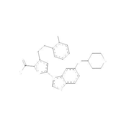 C[C@@H](Cc1cc(-n2cnc3ccc(OC4CCNCC4)cc32)sc1C(N)=O)c1ccccc1C(F)(F)F